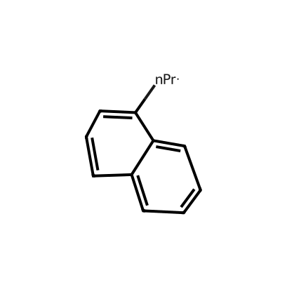 [CH2]C[CH]c1cccc2ccccc12